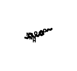 CCCCOc1ccc(CC(=O)Nc2ccnc(CC)n2)cc1